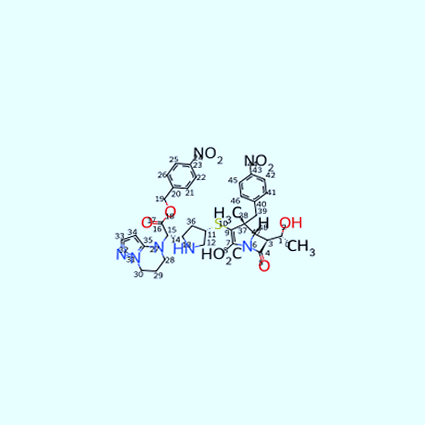 C[C@@H](O)[C@H]1C(=O)N2C(C(=O)O)=C(S[C@@H]3CN[C@H](C(C(=O)OCc4ccc([N+](=O)[O-])cc4)N4CCCn5nccc54)C3)[C@](C)(Cc3ccc([N+](=O)[O-])cc3)[C@H]12